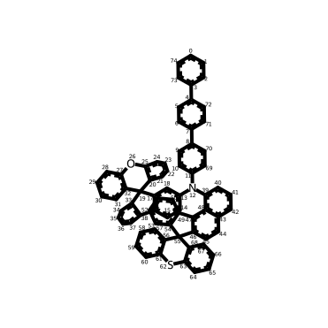 c1ccc(-c2ccc(-c3ccc(N(c4ccc5c(c4)C4(c6ccccc6Oc6ccccc64)c4ccccc4-5)c4cccc5ccc6c(c45)-c4ccccc4C64c5ccccc5Sc5ccccc54)cc3)cc2)cc1